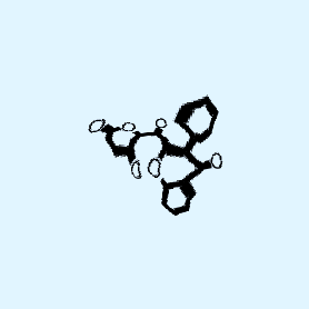 O=C1CC(=O)C(C(=O)c2oc3ccccc3c(=O)c2-c2ccccc2)O1